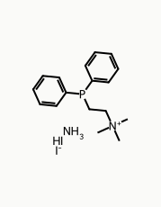 C[N+](C)(C)CCP(c1ccccc1)c1ccccc1.I.N.[I-]